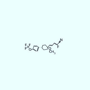 CO[C@]1(C=CC=C(F)C#N)CC[C@H](c2ccc(OC(F)(F)F)cc2)CC1